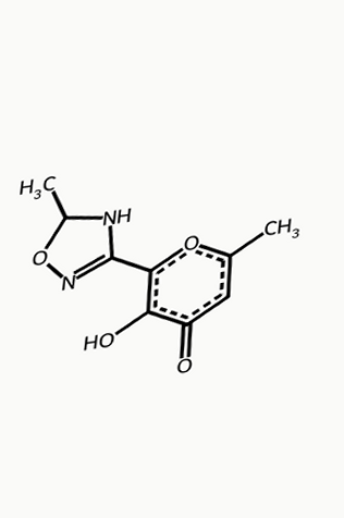 Cc1cc(=O)c(O)c(C2=NOC(C)N2)o1